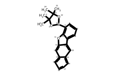 CC1(C)OB(c2cccc3c2oc2cc4ccccc4cc23)OC1(C)C